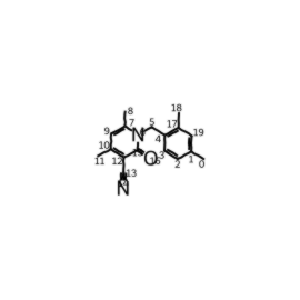 Cc1ccc(Cn2c(C)cc(C)c(C#N)c2=O)c(C)c1